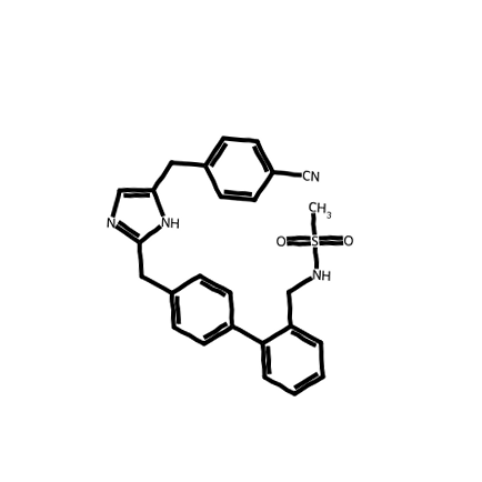 CS(=O)(=O)NCc1ccccc1-c1ccc(Cc2ncc(Cc3ccc(C#N)cc3)[nH]2)cc1